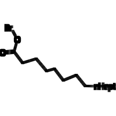 CCCCCCCCCCCCCCC(=O)OBr